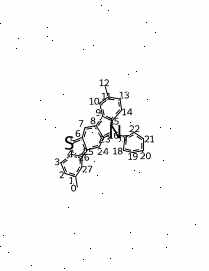 Cc1ccc2sc3cc4c5cc(C)ccc5n(-c5ccccc5)c4cc3c2c1